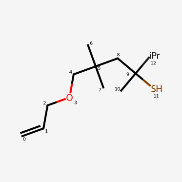 C=CCOCC(C)(C)CC(C)(S)C(C)C